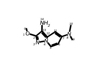 COc1nn2ccc(N(C)C)cc2c1N